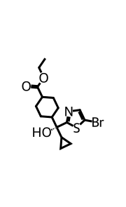 CCOC(=O)C1CCC([C@@](O)(c2ncc(Br)s2)C2CC2)CC1